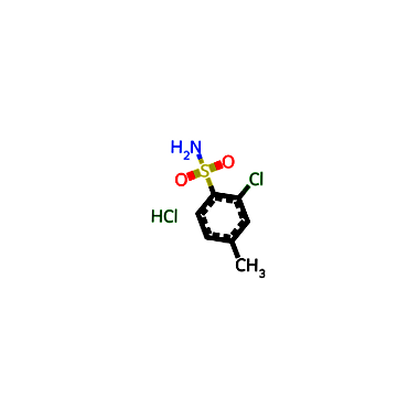 Cc1ccc(S(N)(=O)=O)c(Cl)c1.Cl